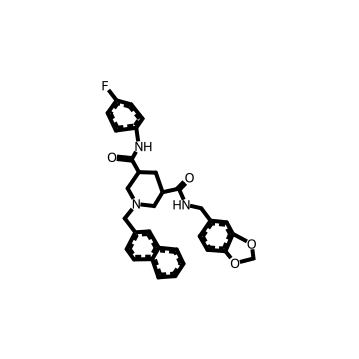 O=C(NCc1ccc2c(c1)OCO2)C1CC(C(=O)Nc2ccc(F)cc2)CN(Cc2ccc3ccccc3c2)C1